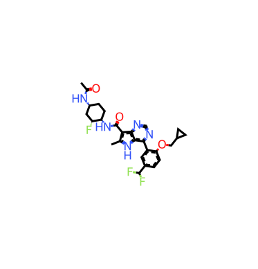 CC(=O)N[C@H]1CC[C@@H](NC(=O)c2c(C)[nH]c3c(-c4cc(C(F)F)ccc4OCC4CC4)ncnc23)[C@H](F)C1